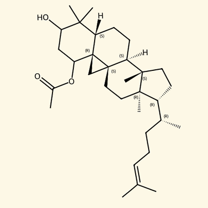 CC(=O)OC1CC(O)C(C)(C)[C@@H]2CC[C@@H]3[C@]4(CC[C@]5(C)[C@@H]([C@H](C)CCC=C(C)C)CC[C@@]35C)C[C@@]124